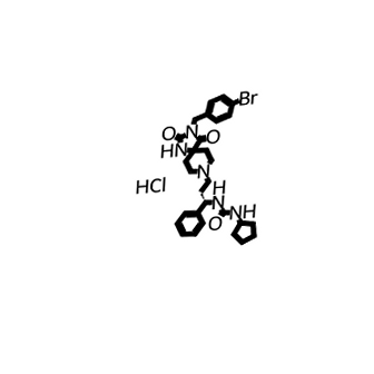 Cl.O=C(NC1CCCC1)N[C@@H](CCN1CCC2(CC1)NC(=O)N(Cc1ccc(Br)cc1)C2=O)c1ccccc1